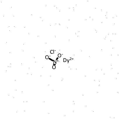 O=[N+]([O-])[O-].[Cl-].[Dy+2]